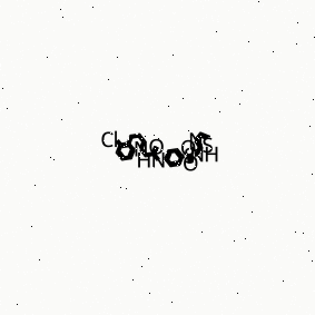 O=C(CN1CCCc2c(Cl)cccc21)Nc1ccc(S(=O)(=O)Nc2nccs2)cc1